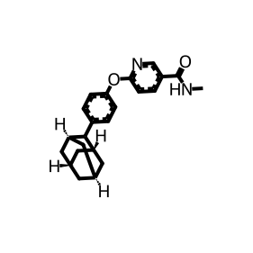 CNC(=O)c1ccc(Oc2ccc(C3[C@H]4C[C@@H]5C[C@@H](C[C@H]3C5)C4)cc2)nc1